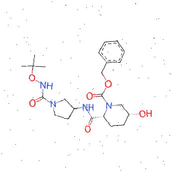 CC(C)(C)ONC(=O)N1CCC(NC(=O)[C@H]2CC[C@@H](O)CN2C(=O)OCc2ccccc2)C1